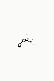 O=C(O)Cc1c[nH]c2ccc(-c3ccccc3)cc12